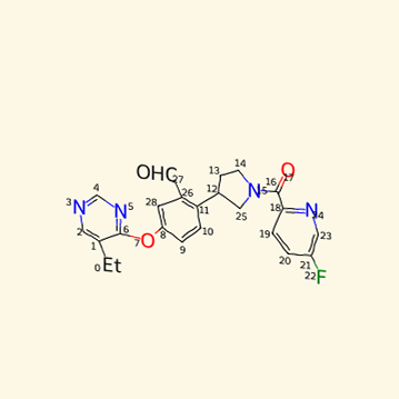 CCc1cncnc1Oc1ccc(C2CCN(C(=O)c3ccc(F)cn3)C2)c(C=O)c1